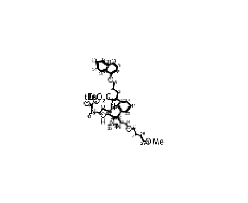 CCOC(=O)c1c(CCCOc2cccc3ccccc23)c2cccc(-c3c(COCCCCOC)nn(C)c3CO)c2n1CCCN(C)C(=O)OC(C)(C)C